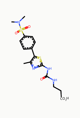 Cc1nc(NC(=O)NCCC(=O)O)sc1-c1ccc(S(=O)(=O)N(C)C)cc1